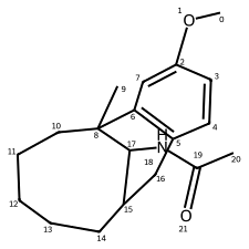 COc1ccc2c(c1)C1(C)CCCCCC(C2)C1NC(C)=O